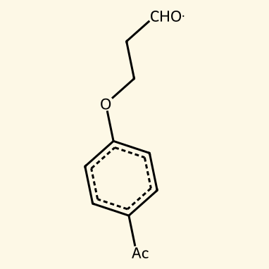 CC(=O)c1ccc(OCC[C]=O)cc1